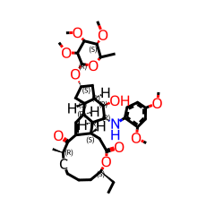 CC[C@H]1CCCC[C@@H](C)C(=O)C2=C[C@H]3[C@@H]4C[C@H](O[C@@H]5OC(C)[C@H](OC)C(OC)C5OC)C[C@H]4[C@@H](O)[C@H](Nc4ccc(OC)cc4OC)[C@H]3[C@@H]2CC(=O)O1